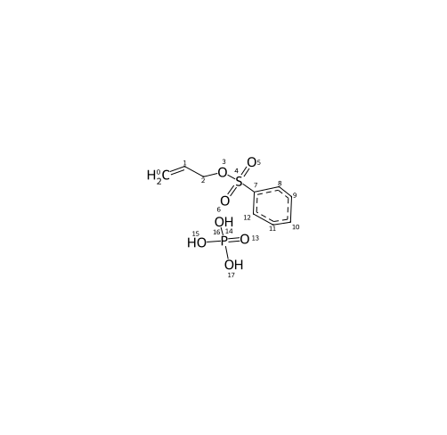 C=CCOS(=O)(=O)c1ccccc1.O=P(O)(O)O